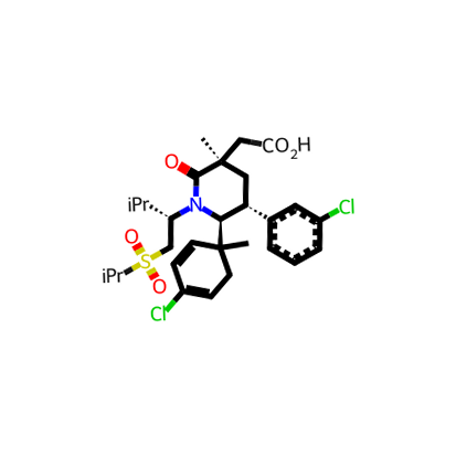 CC(C)[C@@H](CS(=O)(=O)C(C)C)N1C(=O)[C@@](C)(CC(=O)O)C[C@H](c2cccc(Cl)c2)[C@H]1C1(C)C=CC(Cl)=CC1